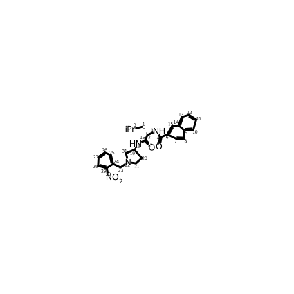 CC(C)C[C@H](NC(=O)c1ccc2ccccc2c1)C(=O)N[C@H]1CCN(Cc2ccccc2[N+](=O)[O-])C1